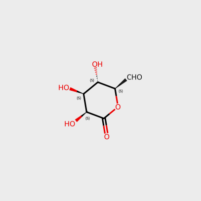 O=C[C@H]1OC(=O)[C@@H](O)[C@@H](O)[C@@H]1O